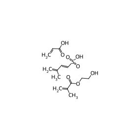 C=C(C)C(=O)OCCO.C=C(C)C=CS(=O)(=O)O.C=CC(=O)O